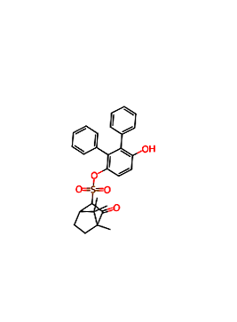 CC12CCC(C(S(=O)(=O)Oc3ccc(O)c(-c4ccccc4)c3-c3ccccc3)C1=O)C2(C)C